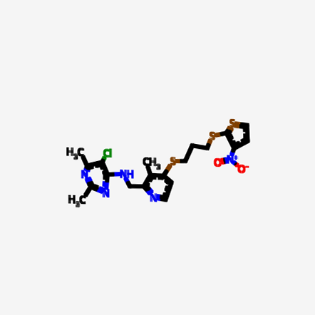 Cc1nc(C)c(Cl)c(NCc2nccc(SCCCSc3sccc3[N+](=O)[O-])c2C)n1